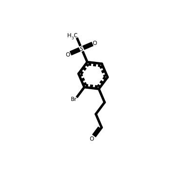 CS(=O)(=O)c1ccc(CCC=O)c(Br)c1